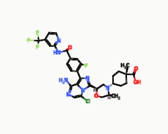 C[C@H]1CO[C@@H](c2nc(-c3ccc(C(=O)Nc4cc(C(F)(F)F)ccn4)cc3F)c3c(N)ncc(Cl)n23)CN1[C@H]1CC[C@@](C)(C(=O)O)CC1